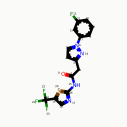 O=C(Cc1ccn(-c2cccc(F)c2)n1)Nc1ncc(C(F)(F)F)s1